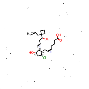 C=CCC1(C(O)C/C=C/[C@@H]2[C@@H](C/C=C\CCCC(=O)O)[C@@H](Cl)C[C@H]2O)CCC1